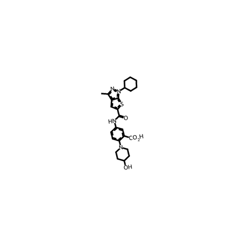 Cc1nn(C2CCCCC2)c2sc(C(=O)Nc3ccc(N4CCC(O)CC4)c(C(=O)O)c3)cc12